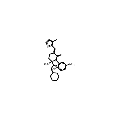 Cc1ccsc1/C=C1\CCC(N)(C(=O)CC2CCCCC2)N(c2cc(N)ccc2N)C1=O